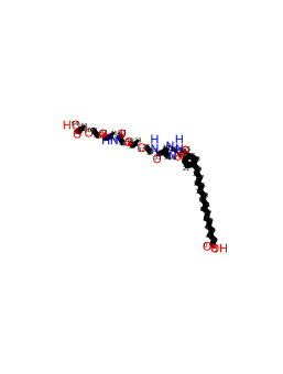 O=C(O)CCCCCCCCCCCCCCCCCc1ccc(S(=O)(=O)Nc2ncc(C(=O)NCCOCCOCC(=O)NCCOCCOCC(=O)O)cn2)cc1